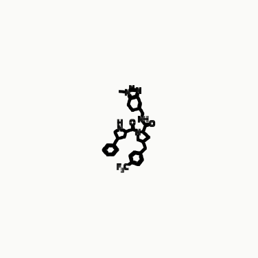 Cn1nnc2c1CCC(CNC(=O)C1CC(Cc3ccc(C(F)(F)F)cc3)CN1C(=O)C1CC(c3ccccc3)CN1)=C2